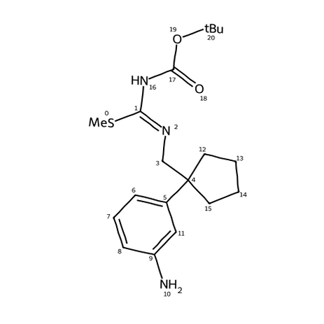 CS/C(=N\CC1(c2cccc(N)c2)CCCC1)NC(=O)OC(C)(C)C